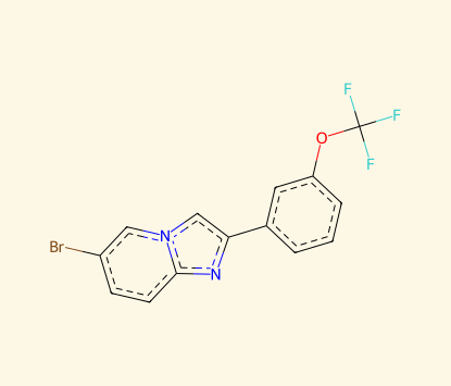 FC(F)(F)Oc1cccc(-c2cn3cc(Br)ccc3n2)c1